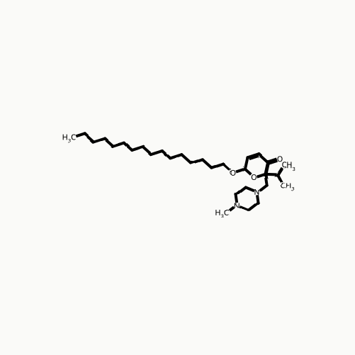 CCCCCCCCCCCCCCCCOC1C=CC(=O)C(CN2CCN(C)CC2)(C(C)C)O1